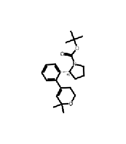 CC(C)(C)OC(=O)N1CCC[C@@H]1c1ccccc1C1=CC(C)(C)OCC1